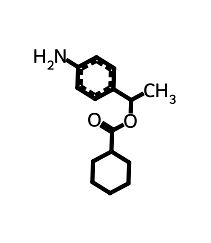 CC(OC(=O)C1CCCCC1)c1ccc(N)cc1